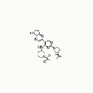 CN(C)[C@@H]1CCN(c2ncc(-c3cnc4[nH]ccc4n3)c(NC3CCCN(S(C)(=O)=O)C3)n2)C1